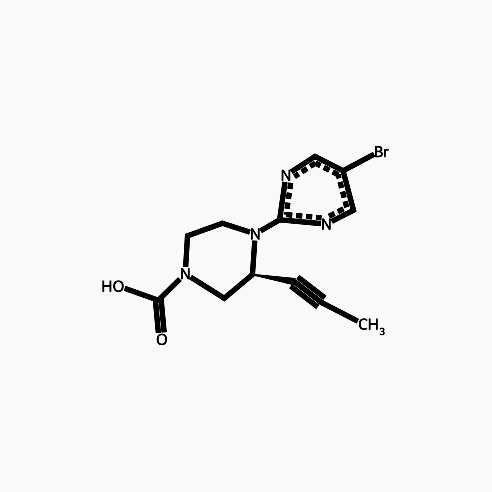 CC#C[C@H]1CN(C(=O)O)CCN1c1ncc(Br)cn1